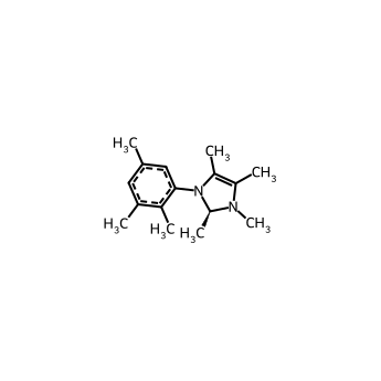 CC1=C(C)N(c2cc(C)cc(C)c2C)[C@H](C)N1C